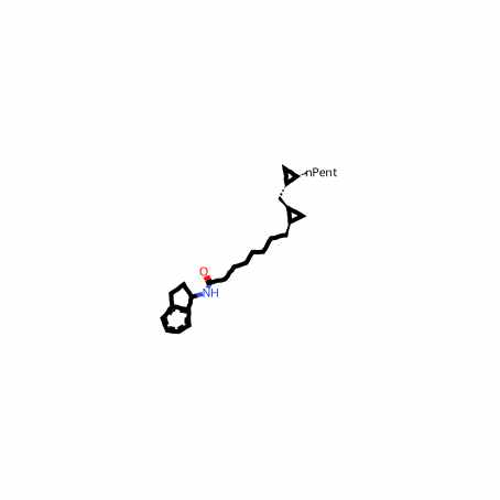 CCCCC[C@H]1C[C@H]1C[C@H]1C[C@H]1CCCCCCCC(=O)NC1CCc2ccccc21